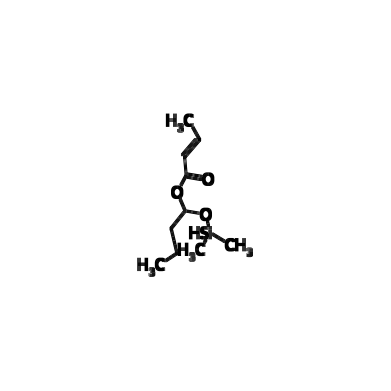 CC=CC(=O)OC(CCC)O[SiH](C)C